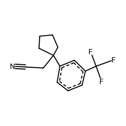 N#CCC1(c2cccc(C(F)(F)F)c2)CCCC1